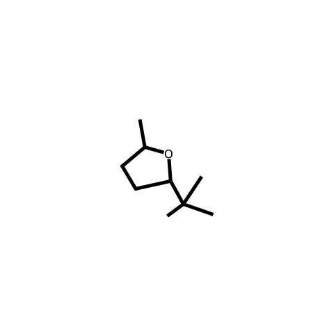 CC1CCC(C(C)(C)C)O1